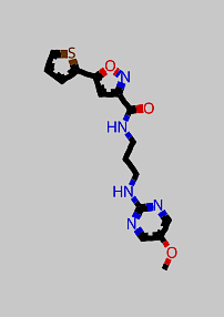 COc1cnc(NCCCNC(=O)c2cc(-c3cccs3)on2)nc1